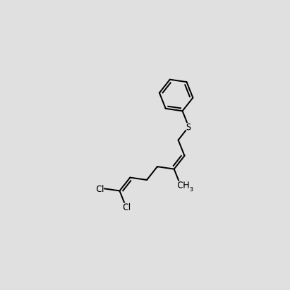 CC(=CCSc1ccccc1)CCC=C(Cl)Cl